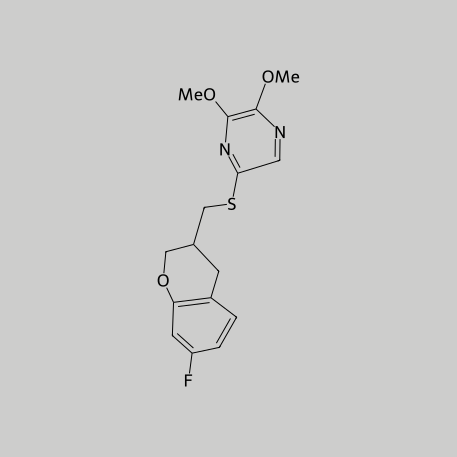 COc1ncc(SCC2COc3cc(F)ccc3C2)nc1OC